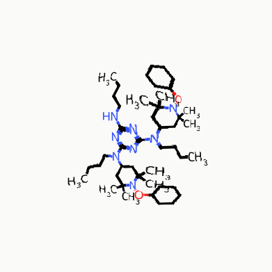 CCCCNc1nc(N(CCCC)C2CC(C)(C)N(OC3CCCCC3)C(C)(C)C2)nc(N(CCCC)C2CC(C)(C)N(OC3CCCCC3)C(C)(C)C2)n1